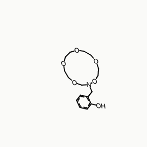 Oc1ccccc1CN1COCCOCCOCCOCCO1